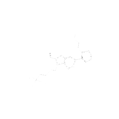 COCOc1ccccc1-c1cc2cc(C=O)n(COCC[Si](C)(C)C)c2nn1